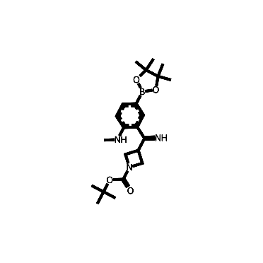 CNc1ccc(B2OC(C)(C)C(C)(C)O2)cc1C(=N)C1CN(C(=O)OC(C)(C)C)C1